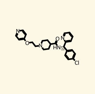 O=C(N[C@@H](c1ccc(Cl)cc1)c1ccccn1)C1CCN(CCOc2ccncc2)CC1